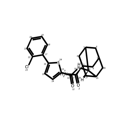 NC(=O)[C@]12CC3CC(C1)[C@@H](NC(=O)c1ccc(-c4ccccc4Cl)s1)C(C3)C2